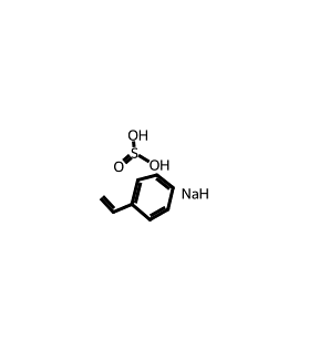 C=Cc1ccccc1.O=S(O)O.[NaH]